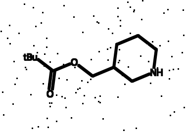 CC(C)(C)C(=O)OCC1CCCNC1